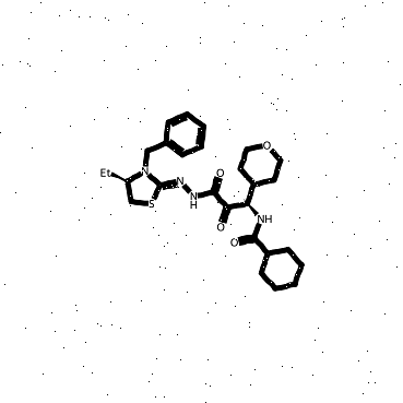 CC[C@@H]1CSC(=NNC(=O)C(=O)[C@H](NC(=O)C2CCCCC2)C2CCOCC2)N1Cc1ccccc1